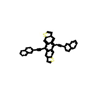 C(#Cc1c2c(c(C#Cc3ccc4ccccc4c3)c3cc4sccc4cc13)=CC1C=CSC1C=2)c1ccc2ccccc2c1